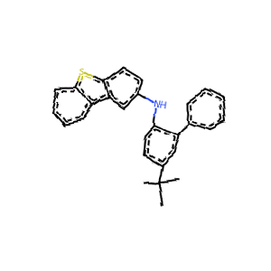 CC(C)(C)c1ccc(Nc2ccc3sc4ccccc4c3c2)c(-c2ccccc2)c1